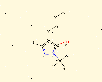 CCCCc1c(C)nn(C(C)(C)C)c1O